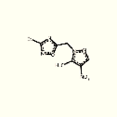 CCc1noc(Cn2ncc([N+](=O)[O-])c2C)n1